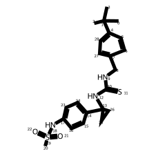 CC(C)(C)c1ccc(CNC(=S)NC2(c3ccc(NS(C)(=O)=O)cc3)CC2)cc1